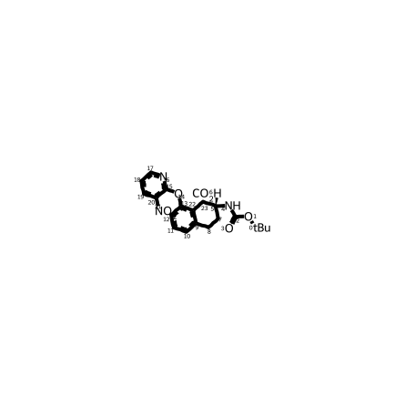 CC(C)(C)OC(=O)N[C@]1(C(=O)O)CCc2cccc(Oc3ncccc3[N+](=O)[O-])c2C1